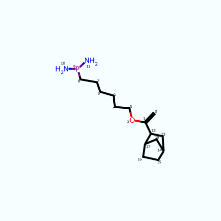 C=C(OCCCCCCP(N)N)C1CC2CCC1C2